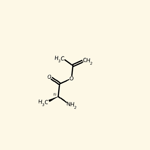 C=C(C)OC(=O)[C@H](C)N